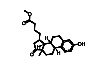 COC(=O)CCC[C@@H]1CC(=O)[C@@]2(C)CC[C@@H]3c4ccc(O)cc4CC[C@H]3[C@H]12